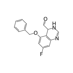 O=CC1NC=Nc2cc(F)cc(OCc3ccccc3)c21